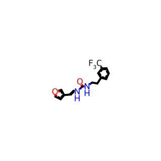 O=C(N/C=C/c1ccoc1)NCCc1cccc(C(F)(F)F)c1